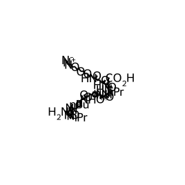 CCCCc1nc2c(N)nnc(OC(C)C)c2n1Cc1ccc(CNC(=O)OCc2ccc(NC(=O)[C@H](C)NC(=O)[C@@H](NC(=O)[C@H](CCC(=O)O)NC(=O)CCCC(=O)NCCOCCOCCOCCN=[N+]=[N-])C(C)C)cc2)cc1